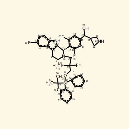 C[C@@H]1Cc2c([nH]c3ccc(F)cc23)[C@@H](c2c(F)cc(C(O)C3CNC3)cc2F)N1CC(F)(F)CO[Si](c1ccccc1)(c1ccccc1)C(C)(C)C